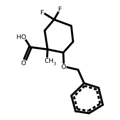 CC1(C(=O)O)CC(F)(F)CCC1OCc1ccccc1